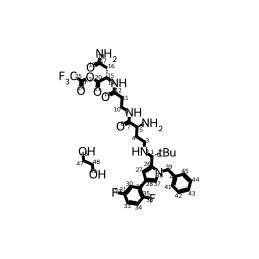 CC(C)(C)[C@@H](NCC[C@H](N)C(=O)NCCC(=O)N[C@@H](CC(N)=O)C(=O)OC(=O)C(F)(F)F)c1cc(-c2cc(F)ccc2F)cn1Cc1ccccc1.OCCO